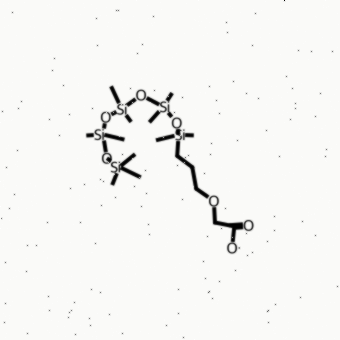 C[Si](C)(C)O[Si](C)(C)O[Si](C)(C)O[Si](C)(C)O[Si](C)(C)CCCOCC([O])=O